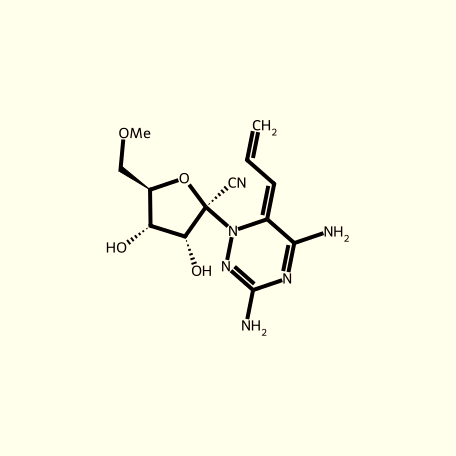 C=C/C=C1/C(N)=NC(N)=NN1[C@]1(C#N)O[C@H](COC)[C@@H](O)[C@H]1O